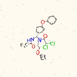 CCOCCN(C(=O)C(Cl)Cl)C(NC(=O)C(F)(F)F)c1ccc(Oc2ccccc2)cc1